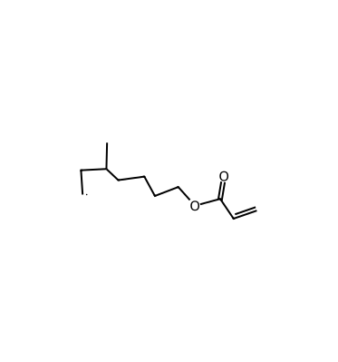 [CH2]CC(C)CCCCOC(=O)C=C